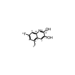 Oc1cc2c(F)cc(F)cc2nc1O